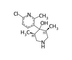 Cc1nc(Cl)ccc1C1(O)[C@H](C)CNC[C@@H]1C